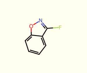 Fc1noc2ccccc12